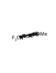 COOSN1CCN(c2ccc(OCC3CCN(c4ccc(C(F)(F)F)cn4)CC3)cn2)CC1